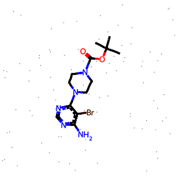 CC(C)(C)OC(=O)N1CCN(c2ncnc(N)c2Br)CC1